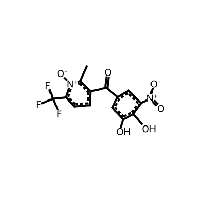 Cc1c(C(=O)c2cc(O)c(O)c([N+](=O)[O-])c2)ccc(C(F)(F)F)[n+]1[O-]